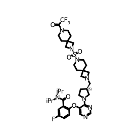 CC(C)N(C(=O)c1cc(F)ccc1Oc1cncnc1N1CC[C@@H](CN2CC3(CCN(S(=O)(=O)N4CC5(CCN(C(=O)C(F)(F)F)CC5)C4)CC3)C2)C1)C(C)C